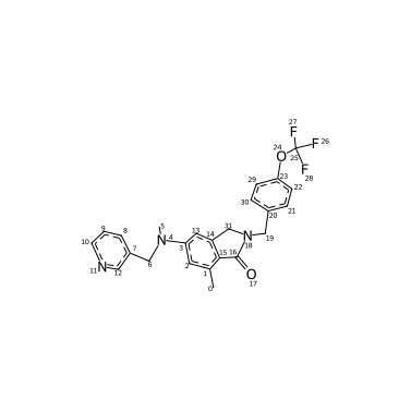 Cc1cc(N(C)Cc2cccnc2)cc2c1C(=O)N(Cc1ccc(OC(F)(F)F)cc1)C2